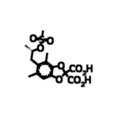 Cc1cc2c(c(C)c1C[C@H](C)OS(C)(=O)=O)OC(C(=O)O)(C(=O)O)O2